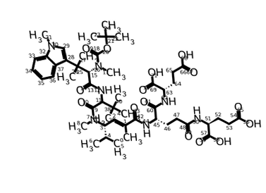 C/C(=C\[C@H](C(C)C)N(C)C(=O)C(NC(=O)[C@@H](N(C)C(=O)OC(C)(C)C)C(C)(C)c1cn(C)c2ccccc12)C(C)(C)C)C(=O)N[C@@H](CCC(=O)N[C@@H](CCC(=O)O)C(=O)O)C(=O)N[C@@H](CCC(=O)O)C(=O)O